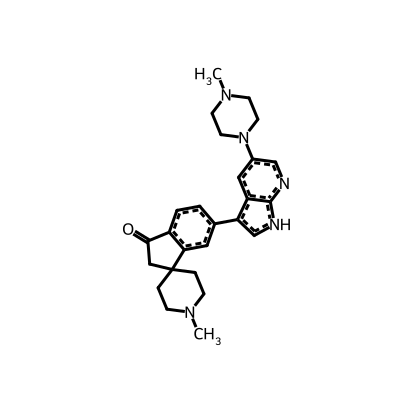 CN1CCN(c2cnc3[nH]cc(-c4ccc5c(c4)C4(CCN(C)CC4)CC5=O)c3c2)CC1